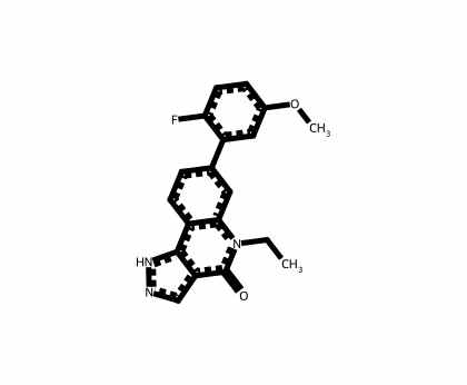 CCn1c(=O)c2cn[nH]c2c2ccc(-c3cc(OC)ccc3F)cc21